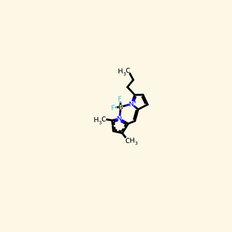 CCCC1=[N+]2C(=Cc3c(C)cc(C)n3[B-]2(F)F)C=C1